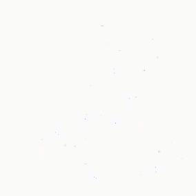 C=C(F)C(=O)N1CCN(c2nc(OC[C@@H]3CCCN3C)nc3c2CC(C)N3c2cccc3ccccc23)C[C@@H]1CC#N